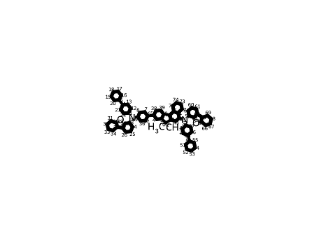 CC1(C)c2cc(-c3ccc(N(c4ccc(-c5ccccc5)cc4)c4cccc5c4oc4ccccc45)cc3)ccc2-c2c1cc(N(c1ccc(-c3ccccc3)cc1)c1cccc3c1oc1ccccc13)c1ccccc21